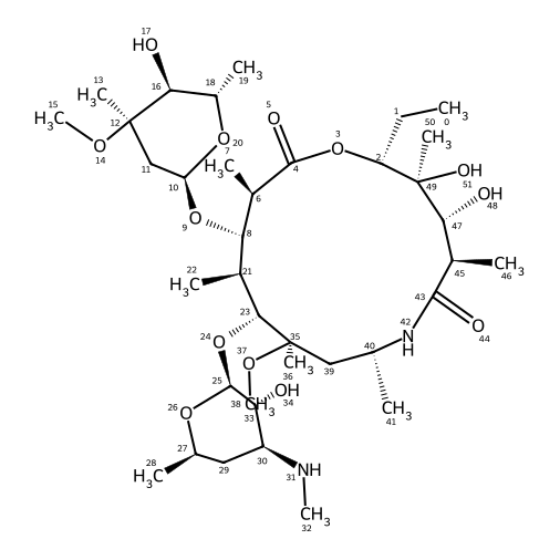 CC[C@H]1OC(=O)[C@H](C)[C@@H](O[C@H]2C[C@@](C)(OC)[C@@H](O)[C@H](C)O2)[C@H](C)[C@@H](O[C@@H]2O[C@H](C)C[C@H](NC)[C@H]2O)[C@](C)(OC)C[C@@H](C)NC(=O)[C@H](C)[C@@H](O)[C@]1(C)O